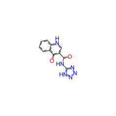 O=C(Nc1nnn[nH]1)c1c[nH]c2ccccc2c1=O